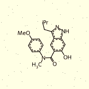 COc1ccc(N(C)C(=O)c2cc3c(CC(C)C)n[nH]c3cc2O)cc1